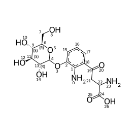 Nc1c(OC2O[C@H](CO)[C@@H](O)[C@H](O)[C@H]2O)cccc1C(=O)CC(N)C(=O)O